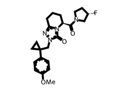 COc1ccc(C2(Cn3nc4n(c3=O)[C@H](C(=O)N3CC[C@H](F)C3)CCC4)CC2)cc1